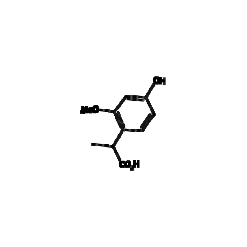 COc1cc(O)ccc1C(C)C(=O)O